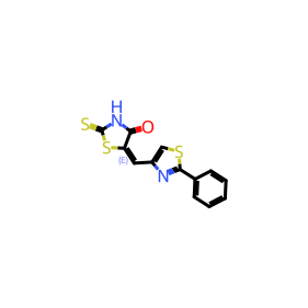 O=C1NC(=S)S/C1=C/c1csc(-c2ccccc2)n1